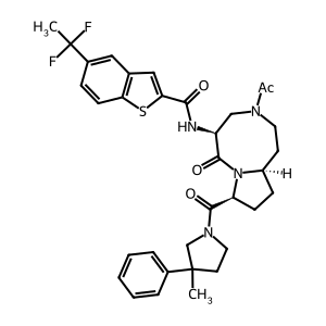 CC(=O)N1CC[C@H]2CC[C@@H](C(=O)N3CCC(C)(c4ccccc4)C3)N2C(=O)[C@@H](NC(=O)c2cc3cc(C(C)(F)F)ccc3s2)C1